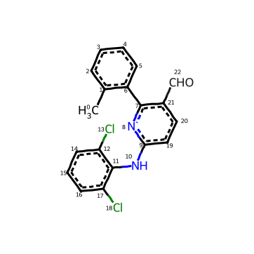 Cc1ccccc1-c1nc(Nc2c(Cl)cccc2Cl)ccc1C=O